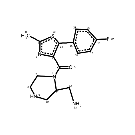 Cc1nc(C(=O)N2CCNCC2CN)c(-c2ccc(F)cc2)s1